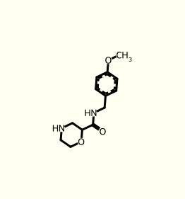 COc1ccc(CNC(=O)C2CNCCO2)cc1